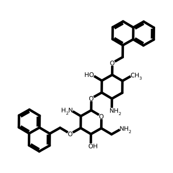 CC1CC(N)C(OC2OC(CN)C(O)C(OCc3cccc4ccccc34)C2N)C(O)C1OCc1cccc2ccccc12